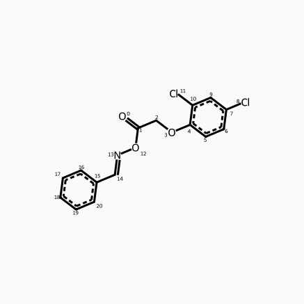 O=C(COc1ccc(Cl)cc1Cl)O/N=C/c1ccccc1